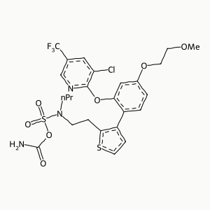 CCCN(CCc1sccc1-c1ccc(OCCOC)cc1Oc1ncc(C(F)(F)F)cc1Cl)S(=O)(=O)OC(N)=O